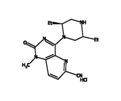 CCC1CN(c2nc(=O)n(C)c3ccc(C#N)nc23)[C@@H](CC)CN1.Cl